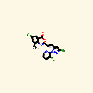 Cc1cc(Cl)cc2c(=O)oc(/C=C/c3cc(Br)nn3-c3ncccc3Cl)nc12